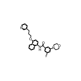 O=C(Nc1ccc(OCCCc2cccnc2)c2ccccc12)c1cc(F)cc(N2CCOCC2)c1